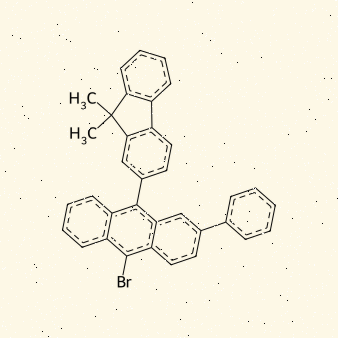 CC1(C)c2ccccc2-c2ccc(-c3c4ccccc4c(Br)c4ccc(-c5ccccc5)cc34)cc21